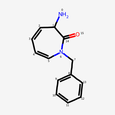 NC1C=CC=CN(Cc2ccccc2)C1=O